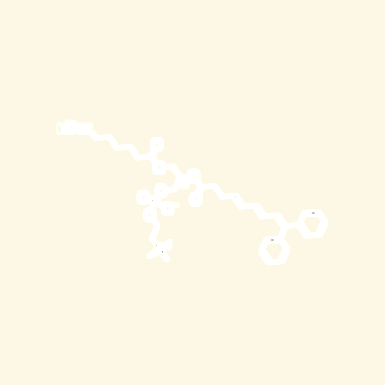 CCCCCCCCCCCCCCCC(=O)OC[C@H](COP(=O)([O-])OCC[N+](C)(C)C)OC(=O)CCC=CC=CC=C(c1ccccc1)c1ccccc1